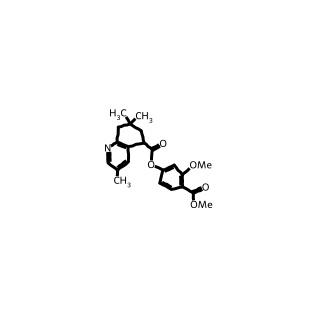 COC(=O)c1ccc(OC(=O)C2CC(C)(C)Cc3ncc(C)cc32)cc1OC